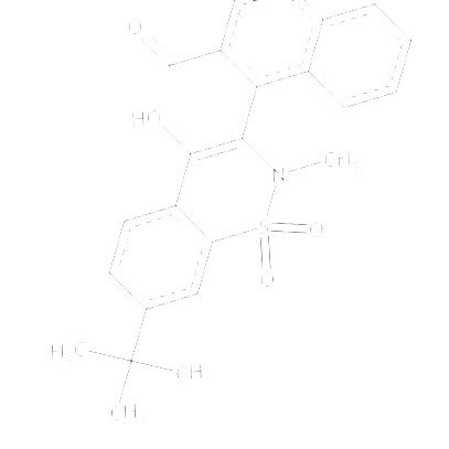 CN1C(c2c(C=O)ccc3ccccc23)=C(O)c2ccc(C(C)(C)C)cc2S1(=O)=O